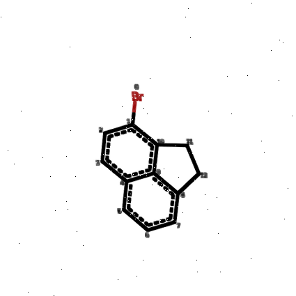 Brc1ccc2cccc3c2c1CC3